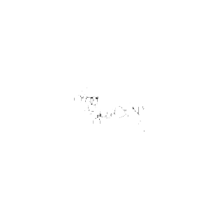 CCCC[N+](C)(C)Cc1ccc(COC(=O)C(C)(COC)COC(C)=O)cc1